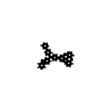 c1ccc(-c2ccc(N(c3ccc(-c4cc5c6c(c4)c4cccc7c4n6-c4c(cccc4O5)O7)cc3)c3ccc4c(c3)oc3ccccc34)cc2)cc1